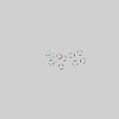 C[C@H]1CC2C[C@H]3C(C[C@H]3C1)C21c2ccccc2N(c2ccccc2-c2ccc3oc4ccc([Si](c5ccccc5)(c5ccccc5)c5ccccc5)cc4c3c2)c2ccccc21